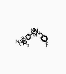 CNS(=O)(=O)c1ccc(-c2nnn(Cc3ccc(F)cc3)n2)cc1